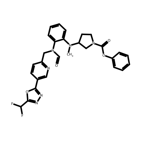 CN(c1ccccc1N(C=O)Cc1ccc(-c2nnc(C(F)F)o2)cn1)C1CCN(C(=O)Oc2ccccc2)C1